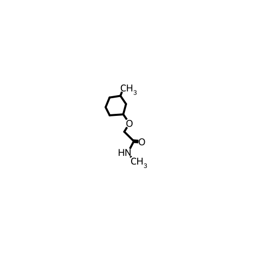 CNC(=O)COC1CCCC(C)C1